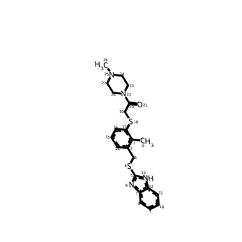 Cc1c(CSc2nc3ccccc3[nH]2)cccc1SCC(=O)N1CCN(C)CC1